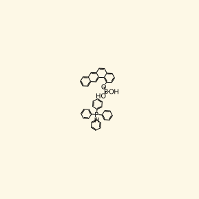 OB(O)Oc1cccc2ccc3cc4ccccc4cc3c12.c1ccc([PH](c2ccccc2)(c2ccccc2)c2ccccc2)cc1